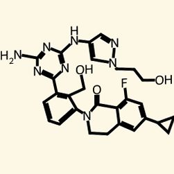 Nc1nc(Nc2cnn(CCCO)c2)nc(-c2cccc(N3CCc4cc(C5CC5)cc(F)c4C3=O)c2CO)n1